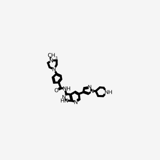 CN1CCN(c2ccc(C(=O)Nc3n[nH]c4ncc(-c5cnn(C6CCNCC6)c5)cc34)cc2)CC1